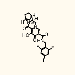 O=C(NCc1c(F)cc(F)cc1F)c1cn2c(c(O)c1=O)C(=O)N1[C@@H]3CC[C@H](C3)[C@H]1C2